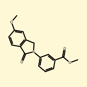 COC(=O)c1cccc(N2Cc3cc(OC)ccc3C2=O)c1